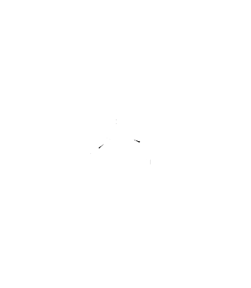 O=CO[C@@H]1C[C@@H]1F